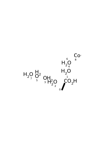 CC(=O)O.O.O.O.O.O.O.[Co]